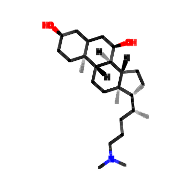 C[C@H](CCCN(C)C)[C@H]1CC[C@H]2[C@@H]3[C@H](O)CC4C[C@H](O)CC[C@]4(C)[C@H]3CC[C@]12C